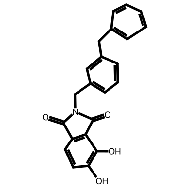 O=C1c2ccc(O)c(O)c2C(=O)N1Cc1cccc(Cc2ccccc2)c1